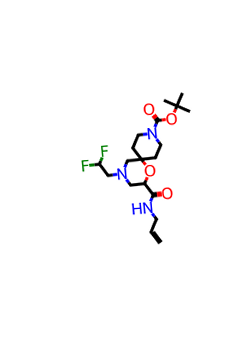 C=CCNC(=O)C1CN(CC(F)F)CC2(CCN(C(=O)OC(C)(C)C)CC2)O1